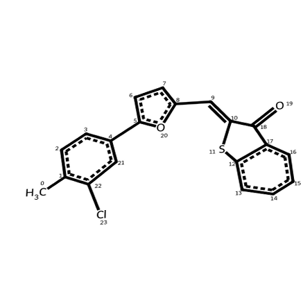 Cc1ccc(-c2ccc(C=C3Sc4ccccc4C3=O)o2)cc1Cl